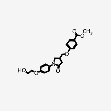 COC(=O)c1ccc(OCC2CC(=O)N(c3ccc(OCCO)cc3)C2)cc1